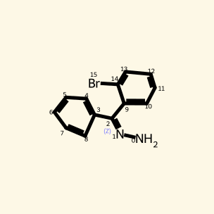 N/N=C(/c1ccccc1)c1ccccc1Br